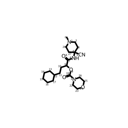 CN1CCC(C#N)(NC(=O)C(CCC2CCCCC2)OC(=O)N2CCOCC2)CC1